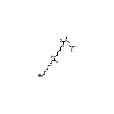 CCN(CC)CCN(C)C(=O)OCCCCNC(=O)COCCOCC(C)(C)C